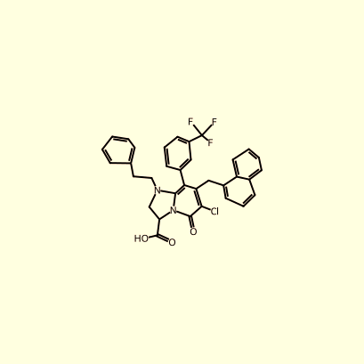 O=C(O)C1CN(CCc2ccccc2)c2c(-c3cccc(C(F)(F)F)c3)c(Cc3cccc4ccccc34)c(Cl)c(=O)n21